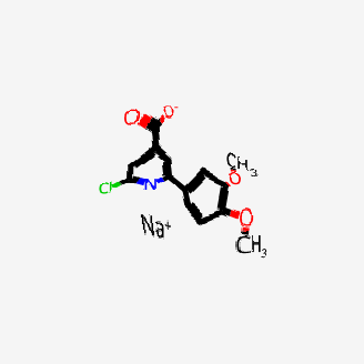 COc1ccc(-c2cc(C(=O)[O-])cc(Cl)n2)cc1OC.[Na+]